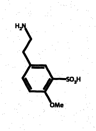 COc1ccc(CCN)cc1S(=O)(=O)O